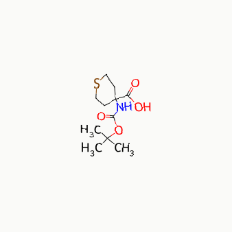 CC(C)(C)OC(=O)NC1(C(=O)O)CCSCC1